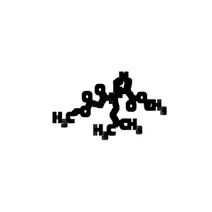 CCOC(=O)CC(=O)N(CCC(C)C)n1cncc1C(=O)OC